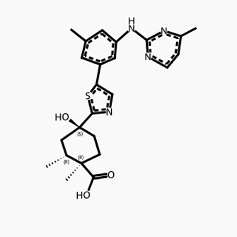 Cc1cc(Nc2nccc(C)n2)cc(-c2cnc([C@]3(O)CC[C@@](C)(C(=O)O)[C@H](C)C3)s2)c1